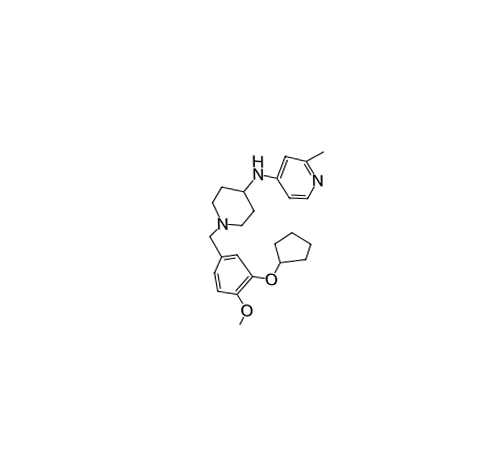 COc1ccc(CN2CCC(Nc3ccnc(C)c3)CC2)cc1OC1CCCC1